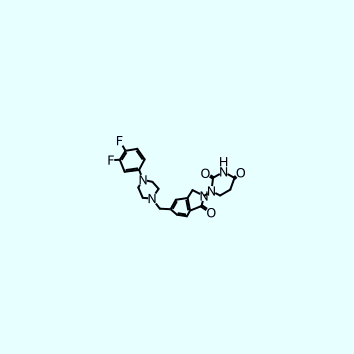 O=C1CCN(N2Cc3cc(CN4CCN(c5ccc(F)c(F)c5)CC4)ccc3C2=O)C(=O)N1